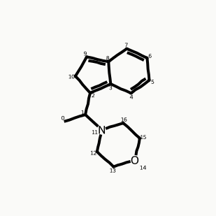 CC(C1=c2ccccc2=CC1)N1CCOCC1